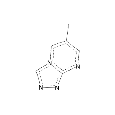 Cc1cnc2nncn2c1